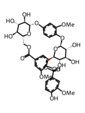 COc1cc(C(=O)OC[C@H]2O[C@@H](Oc3ccc(O[C@@H]4O[C@H](COC(=O)c5ccc(O)c(OC)c5)[C@@H](O)[C@H](O)[C@H]4O)c(OC)c3)[C@H](O)[C@@H](O)[C@@H]2O)ccc1O